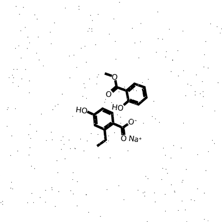 CCc1cc(O)ccc1C(=O)[O-].COC(=O)c1ccccc1O.[Na+]